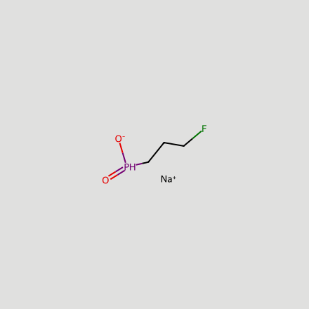 O=[PH]([O-])CCCF.[Na+]